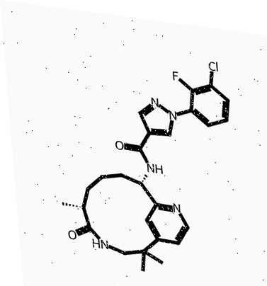 C[C@@H]1CCC[C@H](NC(=O)c2cnn(-c3cccc(Cl)c3F)c2)c2cc(ccn2)C(C)(C)CNC1=O